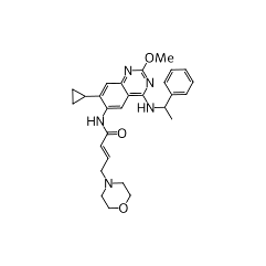 COc1nc(NC(C)c2ccccc2)c2cc(NC(=O)C=CCN3CCOCC3)c(C3CC3)cc2n1